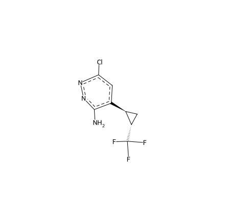 Nc1nnc(Cl)cc1[C@H]1C[C@@H]1C(F)(F)F